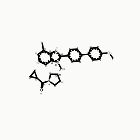 COc1ccc(-c2ccc(-c3nc4c(C)cccc4n3C[C@@H]3CCN(C(=O)C4CC4)C3)cc2)cc1